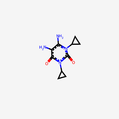 Nc1c(N)n(C2CC2)c(=O)n(C2CC2)c1=O